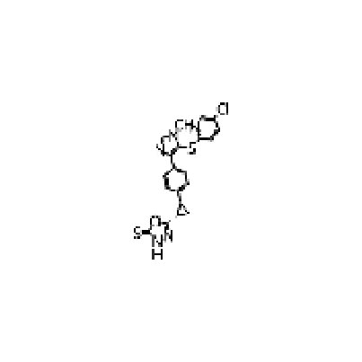 Cn1cnc(-c2ccc([C@H]3C[C@@H]3c3n[nH]c(=S)o3)cc2)c1Sc1ccc(Cl)cn1